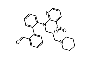 O=Cc1ccccc1-c1ccccc1N(CCCN1CCCCC1)c1ncccc1[N+](=O)[O-]